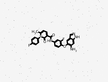 Cc1ccc(C(=O)Nc2ccc(Oc3cc4cn[nH]c4cc3N)c(F)c2)c(=O)n1-c1ccc(F)cc1